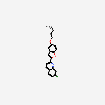 CCOC(=O)CCCOc1ccc2oc(-c3ccc4ccc(Cl)cc4n3)cc2c1